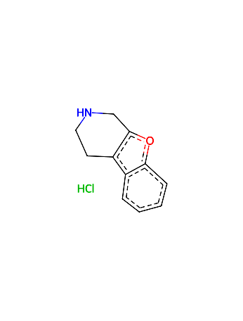 Cl.c1ccc2c3c(oc2c1)CNCC3